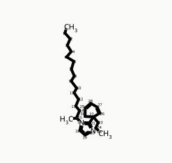 CCCCCCCCCCCCCCCC(C)n1ccnc1C1(CCC)C=CC=CC1